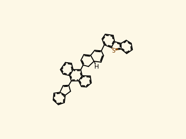 C1=C[C@@H]2CC(c3c4ccccc4c(C4=Cc5ccccc5C4)c4ccccc34)=CC=C2C=C1c1cccc2c1sc1ccccc12